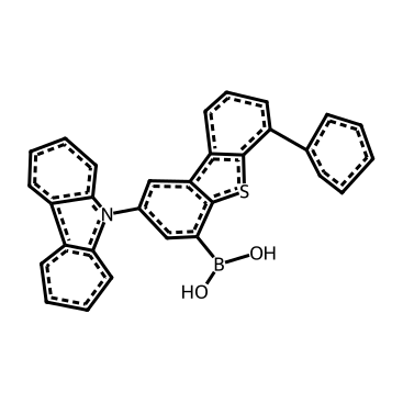 OB(O)c1cc(-n2c3ccccc3c3ccccc32)cc2c1sc1c(-c3ccccc3)cccc12